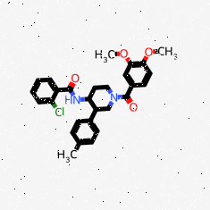 COc1ccc(C(=O)N2CCC(NC(=O)c3ccccc3Cl)C(c3ccc(C)cc3)C2)cc1OC